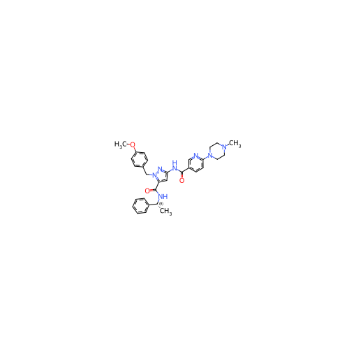 COc1ccc(Cn2nc(NC(=O)c3ccc(N4CCN(C)CC4)nc3)cc2C(=O)N[C@H](C)c2ccccc2)cc1